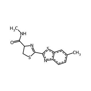 CNC(=O)C1CSC(c2nc3ccc(C)cc3s2)=N1